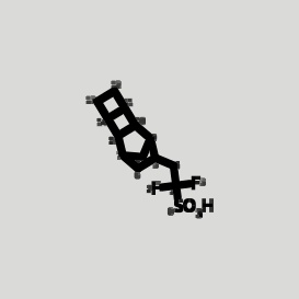 O=S(=O)(O)C(F)(F)CC1CC2CC1C1C3CCC3C21